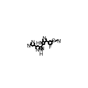 CN(C)CCOc1cc(F)cc(-c2cncc3[nH]c(-c4n[nH]c5ncc(-c6cncc(N(C)C)c6)cc45)cc23)c1